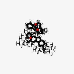 Cl.Cl.[CH2]=[Hf]([C]1=CC=CC1)([c]1c(C)c(C(C)(C)C)cc2c1Cc1cc(C)c(C(C)(C)C)cc1-2)([c]1cccc2ccccc12)[c]1cccc2ccccc12